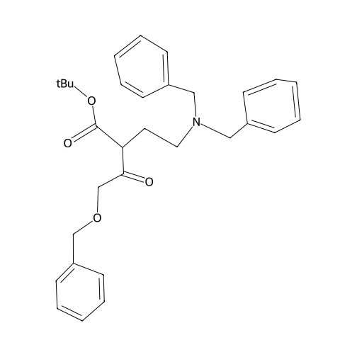 CC(C)(C)OC(=O)C(CCN(Cc1ccccc1)Cc1ccccc1)C(=O)COCc1ccccc1